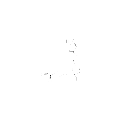 C=CC(=O)OCCC[C]([Tl])(CC)CCCOC(=O)C=C